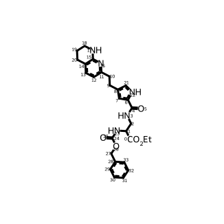 CCOC(=O)C(CNC(=O)c1cc(CCc2ccc3c(n2)NCCC3)c[nH]1)NC(=O)OCc1ccccc1